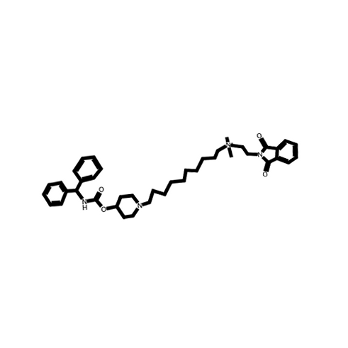 C[N+](C)(CCCCCCCCCCN1CCC(OC(=O)NC(c2ccccc2)c2ccccc2)CC1)CCN1C(=O)c2ccccc2C1=O